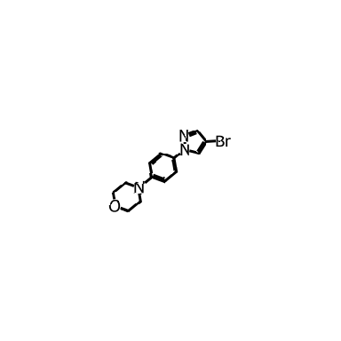 Brc1cnn(-c2ccc(N3CCOCC3)cc2)c1